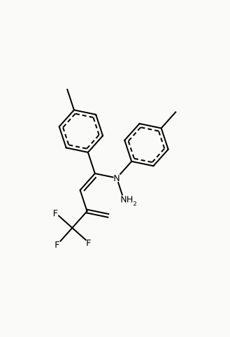 C=C(/C=C(/c1ccc(C)cc1)N(N)c1ccc(C)cc1)C(F)(F)F